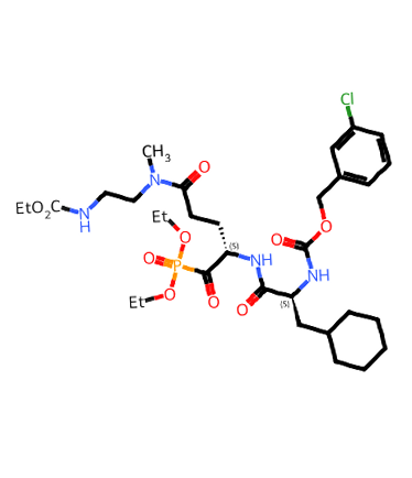 CCOC(=O)NCCN(C)C(=O)CC[C@H](NC(=O)[C@H](CC1CCCCC1)NC(=O)OCc1cccc(Cl)c1)C(=O)P(=O)(OCC)OCC